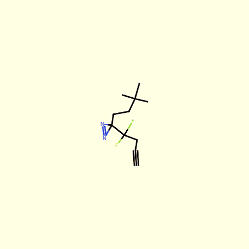 C#CCC(F)(F)C1(CCC(C)(C)C)N=N1